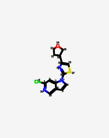 Clc1cc2c(ccn2-c2nc(C3CCOC3)cs2)cn1